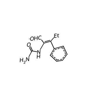 CCC(=C([C]=O)NC(N)=O)c1ccccc1